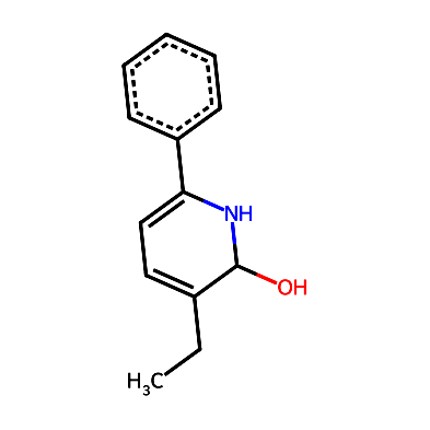 CCC1=CC=C(c2ccccc2)NC1O